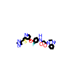 CN1CCN(C(=O)CC(=O)Nc2ccc(Oc3ccnc4cc(-c5cn(C)cn5)sc34)c(F)c2)c2ccccc21